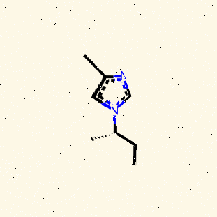 CC[C@H](C)n1cnc(C)c1